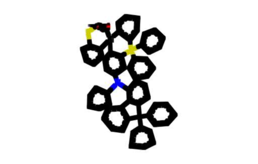 c1ccc(N(c2ccc3c(c2)S(c2ccccc2)(c2ccccc2)c2ccccc2[Si]32c3ccccc3Sc3ccccc32)c2cccc3c2-c2ccccc2C3(c2ccccc2)c2ccccc2)cc1